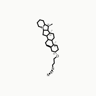 C[C@@H]1C2CCCCN2C2CC3C4CC=C5C[C@@H](OCCCN=[N+]=[N-])CC[C@]5(C)C4CC[C@]3(C)C21